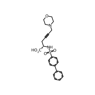 O=C(O)[C@@H](CC#CCN1CCOCC1)NS(=O)(=O)c1ccc(-c2ccccc2)cc1